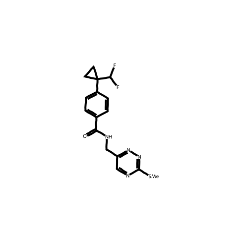 CSc1ncc(CNC(=O)c2ccc(C3(C(F)F)CC3)cc2)nn1